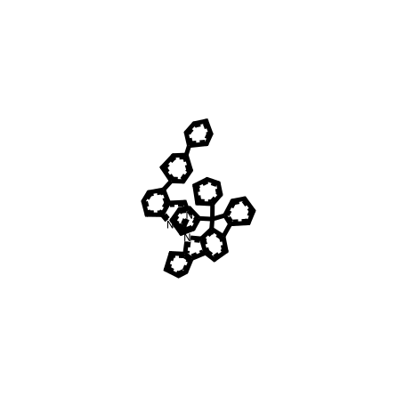 c1ccc(-c2ccc(-c3cccc4nc(-n5c6ccccc6c6ccc7c(c65)C(c5ccccc5)(c5ccccc5)c5ccccc5-7)ncc34)cc2)cc1